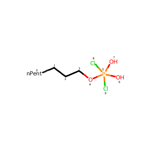 CCCCCCCCOP(O)(O)(Cl)Cl